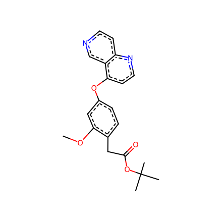 COc1cc(Oc2ccnc3ccncc23)ccc1CC(=O)OC(C)(C)C